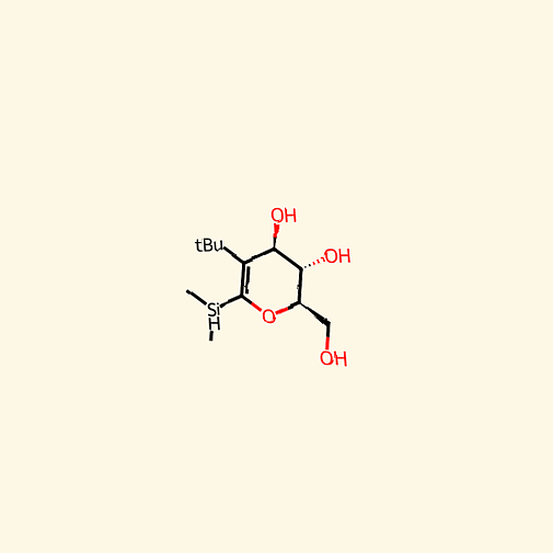 C[SiH](C)C1=C(C(C)(C)C)[C@@H](O)[C@H](O)[C@@H](CO)O1